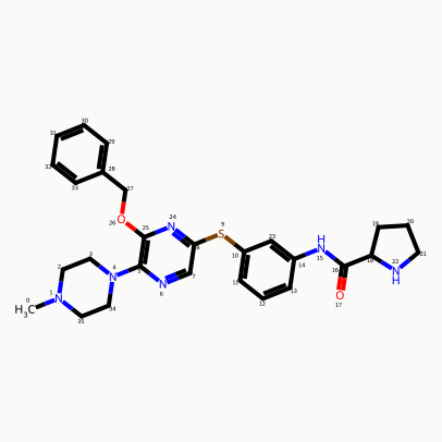 CN1CCN(c2ncc(Sc3cccc(NC(=O)C4CCCN4)c3)nc2OCc2ccccc2)CC1